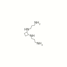 NCCCNC1CCC1NCCCN